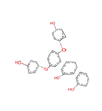 Oc1ccc(Oc2ccc(Oc3ccc(O)cc3)cc2)cc1.Oc1ccccc1.Oc1ccccc1